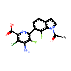 CC(=O)n1ccc2ccc(-c3nc(C(=O)O)c(Cl)c(N)c3F)c(F)c21